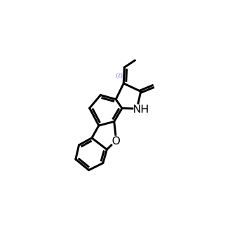 C=c1[nH]c2c(ccc3c4ccccc4oc32)/c1=C/C